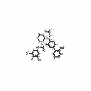 Cc1c(Br)cc(NC(=O)Nc2cc(-c3cc(F)ccc3C=O)ccc2N(CC(C)C)C2CCCCC2)cc1Br